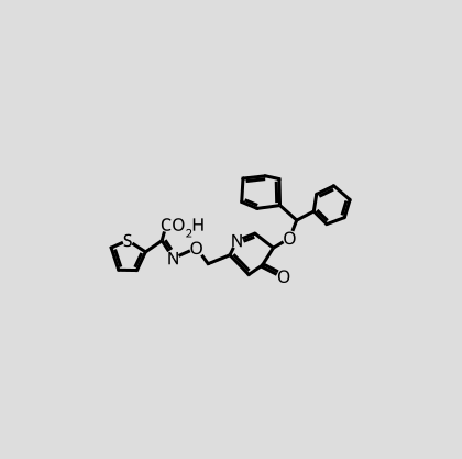 O=C(O)/C(=N\OCC1=CC(=O)C(OC(c2ccccc2)c2ccccc2)C=N1)c1cccs1